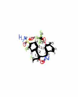 Cc1ccc(-c2noc(CF)c2-c2ccc(S(N)(=O)=O)c(F)c2)cc1OC(F)(F)F